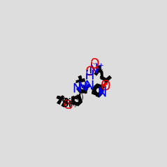 CC(CCC(C)(C)[N+](=O)[O-])Oc1cc(Nc2cc([C@H]3CC[C@@H](O[Si](C)(C)C(C)(C)C)C3)nn2C(C)(C)C)ccn1